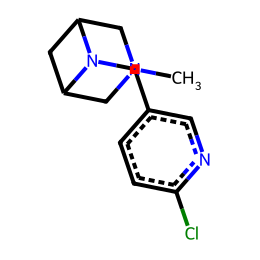 CN1CC2CC(C1)N2Cc1ccc(Cl)nc1